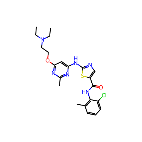 CCN(CC)CCOc1cc(Nc2ncc(C(=O)Nc3c(C)cccc3Cl)s2)nc(C)n1